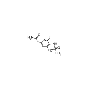 CS(=O)(=O)Nc1c(F)cc(CC(N)=O)cc1F